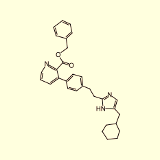 O=C(OCc1ccccc1)c1ncccc1-c1ccc(CCc2ncc(CC3CCCCC3)[nH]2)cc1